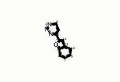 c1ccc2oc(-c3ccnnn3)cc2c1